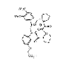 COc1ccc(CC[C@@H](OC(=O)[C@@H]2CCCCN2C(=O)C(=O)[C@]2(O)CCCC[C@H]2CO)c2cccc(OCC(=O)O)c2)cc1OC